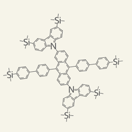 C[Si](C)(C)c1ccc(-c2ccc(-c3c4ccc(-n5c6ccc([Si](C)(C)C)cc6c6cc([Si](C)(C)C)ccc65)cc4c(-c4ccc(-c5ccc([Si](C)(C)C)cc5)cc4)c4ccc(-n5c6ccc([Si](C)(C)C)cc6c6cc([Si](C)(C)C)ccc65)cc34)cc2)cc1